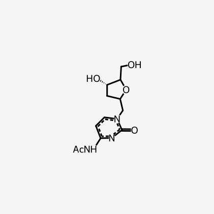 CC(=O)Nc1ccn(CC2C[C@H](O)C(CO)O2)c(=O)n1